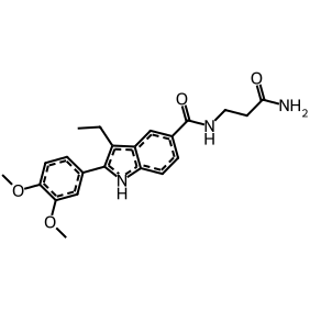 CCc1c(-c2ccc(OC)c(OC)c2)[nH]c2ccc(C(=O)NCCC(N)=O)cc12